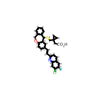 O=C(O)CC1(CSC2c3ccccc3COc3ccc(/C=C/c4ccc5cc(F)c(Cl)cc5n4)cc32)CC1